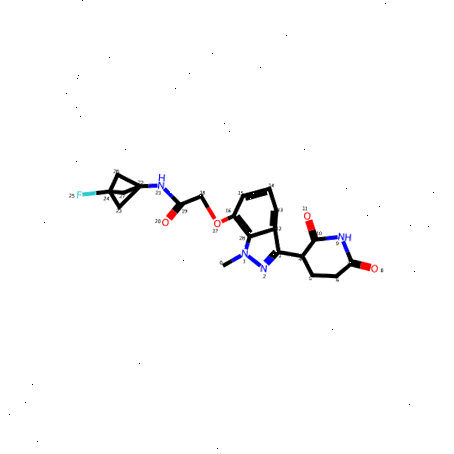 Cn1nc(C2CCC(=O)NC2=O)c2cccc(OCC(=O)NC34CC(F)(C3)C4)c21